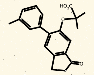 Cc1cccc(-c2cc3c(cc2OC(C)(C)C(=O)O)C(=O)CC3)c1